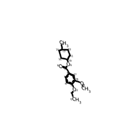 CCOc1ccc(C(=O)OC2CCC(C)CC2)cc1OC